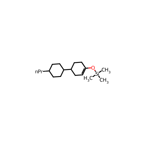 CCCC1CCC(C2CC=C(O[Si](C)(C)C)CC2)CC1